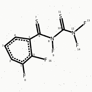 Fc1cccc(C(=S)N(F)C(=S)N(F)F)c1F